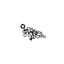 CO[C@H]([C@@H](C)C(=O)N1C(=O)O[C@@H](c2ccccc2)[C@H]1C)[C@@H]1CC2(CC2)CN1C(=O)OC(C)(C)C